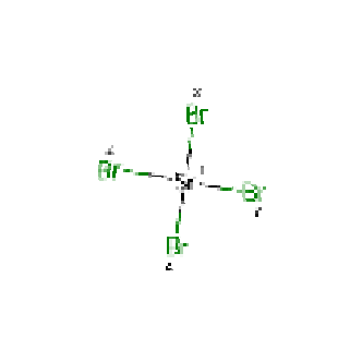 [Br][Sr]([Br])([Br])[Br]